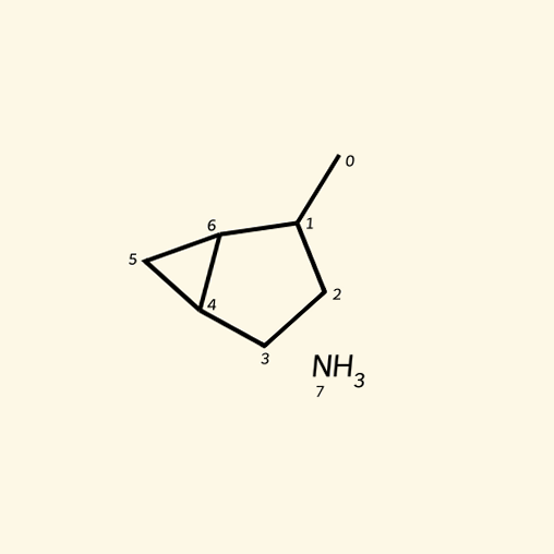 CC1CCC2CC12.N